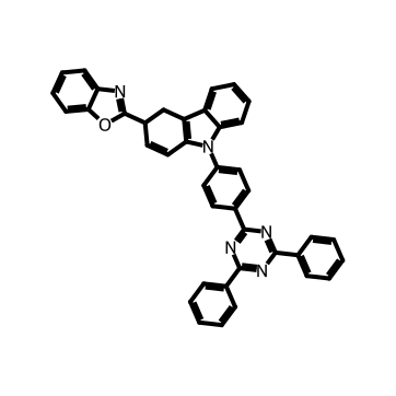 C1=CC(c2nc3ccccc3o2)Cc2c1n(-c1ccc(-c3nc(-c4ccccc4)nc(-c4ccccc4)n3)cc1)c1ccccc21